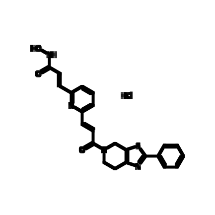 Cl.O=C(C=Cc1cccc(C=CC(=O)N2CCc3nc(-c4ccccc4)sc3C2)n1)NO